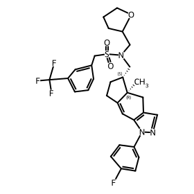 C[C@]12Cc3cnn(-c4ccc(F)cc4)c3C=C1CC[C@@H]2CN(CC1CCCO1)S(=O)(=O)Cc1cccc(C(F)(F)F)c1